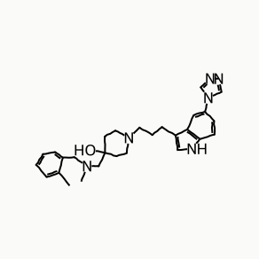 Cc1ccccc1CN(C)CC1(O)CCN(CCCc2c[nH]c3ccc(-n4cnnc4)cc23)CC1